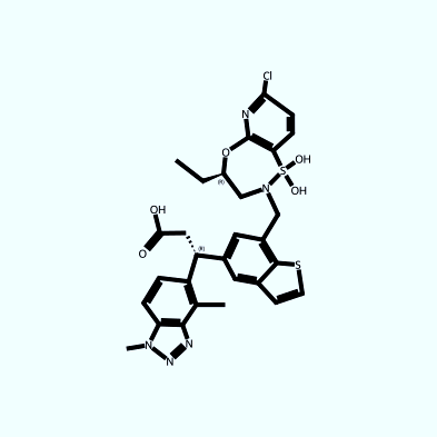 CC[C@@H]1CN(Cc2cc([C@@H](CC(=O)O)c3ccc4c(nnn4C)c3C)cc3ccsc23)S(O)(O)c2ccc(Cl)nc2O1